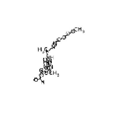 CCOCCOCCOCCOCCN1CCN(CCCN(C)CCCNC(=O)c2ncn(-c3ncc(OC)c4c(C(=O)C(=O)N5CCC(=C(C#N)c6ccccc6)CC5)c[nH]c34)n2)CC1